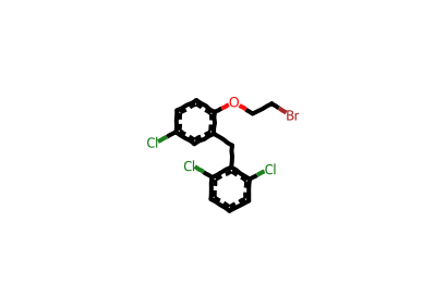 Clc1ccc(OCCBr)c(Cc2c(Cl)cccc2Cl)c1